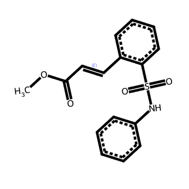 COC(=O)/C=C/c1ccccc1S(=O)(=O)Nc1ccccc1